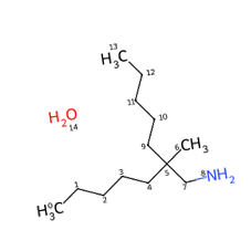 CCCCCC(C)(CN)CCCCC.O